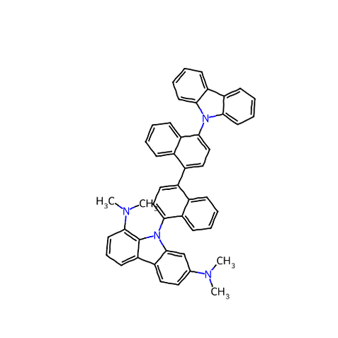 CN(C)c1ccc2c3cccc(N(C)C)c3n(-c3ccc(-c4ccc(-n5c6ccccc6c6ccccc65)c5ccccc45)c4ccccc34)c2c1